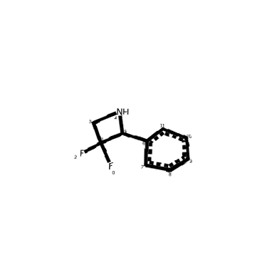 FC1(F)CNC1c1ccccc1